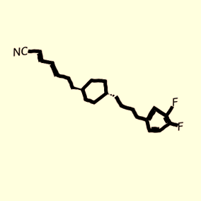 N#C/C=C/C=C/CC[C@H]1CC[C@H](CCCCc2ccc(F)c(F)c2)CC1